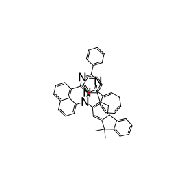 CC1(C)c2ccccc2-c2cc3c4ccccc4n(-c4cccc5cccc(-c6nc(C7=CCC=CC=C7)nc(-c7ccccc7)n6)c45)c3cc21